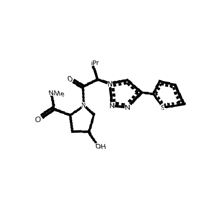 CNC(=O)C1CC(O)CN1C(=O)C(C(C)C)n1cc(-c2cccs2)nn1